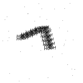 N.N.O=P(O)(O)O.O=P(O)(O)O.O=P(O)(O)O.O=P(O)(O)O.O=P(O)(O)O.O=P(O)(O)O.O=P(O)(O)O.O=P(O)(O)O.O=P(O)(O)O.O=P(O)(O)O